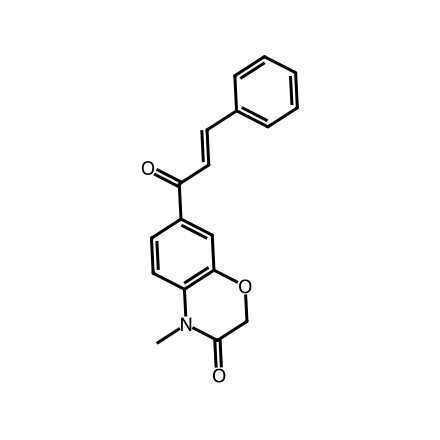 CN1C(=O)COc2cc(C(=O)C=Cc3ccccc3)ccc21